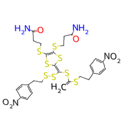 C=C(SCCc1ccc([N+](=O)[O-])cc1)SC(SSCCc1ccc([N+](=O)[O-])cc1)=C1SC(SCCC(N)=O)=C(SCCC(N)=O)S1